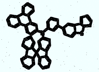 c1cc(-c2ccc3sc4ccccc4c3c2)cc(N(c2ccc3c(c2)C2(c4ccccc4-c4ccccc42)c2ccccc2-3)c2ccc3c4ccccc4c4ccccc4c3c2)c1